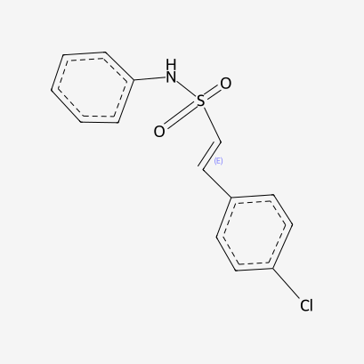 O=S(=O)(/C=C/c1ccc(Cl)cc1)Nc1ccccc1